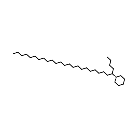 CCCCCCCCCCCCCCCCCCCCCCCC(CCCC)N1CCCCC1